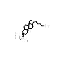 CC(C)CCC[C@@H](C)[C@H]1CC[C@H]2[C@@H]3CC=C4C[C@@](O)(C(=O)NC(C)(C)C)CC[C@]4(C)[C@H]3CC[C@]12C